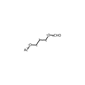 CC(=O)OCCCOC=O